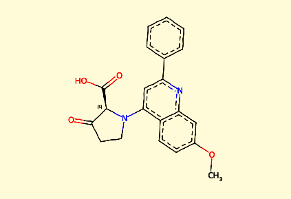 COc1ccc2c(N3CCC(=O)[C@H]3C(=O)O)cc(-c3ccccc3)nc2c1